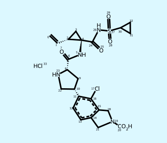 C=C[C@@H]1C[C@]1(NC(=O)[C@@H]1C[C@H](c2ccc3c(c2Cl)CN(C(=O)O)C3)CN1)C(=O)NS(=O)(=O)C1CC1.Cl